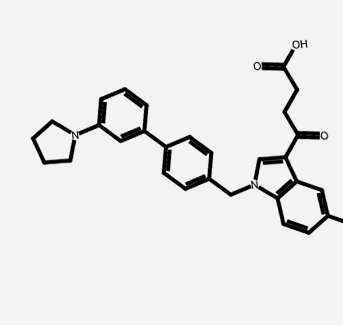 O=C(O)CCC(=O)c1cn(Cc2ccc(-c3cccc(N4CCCC4)c3)cc2)c2ccc(Cl)cc12